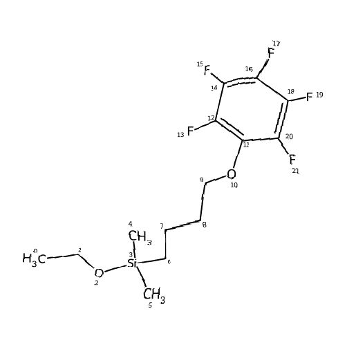 CCO[Si](C)(C)CCCCOc1c(F)c(F)c(F)c(F)c1F